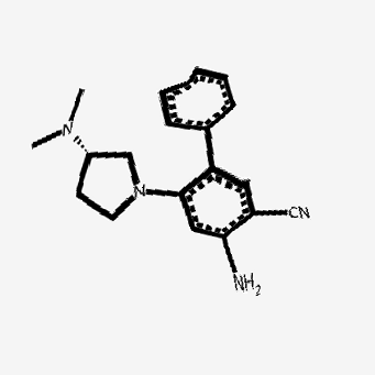 CN(C)[C@H]1CCN(c2cc(N)c(C#N)cc2-c2ccccc2)C1